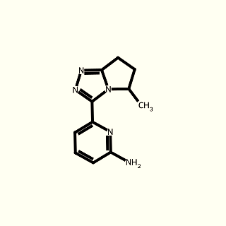 CC1CCc2nnc(-c3cccc(N)n3)n21